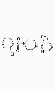 Cc1cccnc1N1CCN(S(=O)(=O)c2ccccc2Cl)CC1